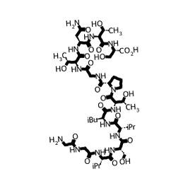 CC[C@H](C)[C@H](NC(=O)[C@@H](NC(=O)[C@H](CO)NC(=O)[C@@H](NC(=O)CNC(=O)CN)C(C)C)C(C)C)C(=O)N[C@H](C(=O)N1CCC[C@H]1C(=O)NCC(=O)N[C@H](C(=O)N[C@@H](CC(N)=O)C(=O)N[C@H](C(=O)N[C@@H](CO)C(=O)O)[C@@H](C)O)[C@@H](C)O)[C@@H](C)O